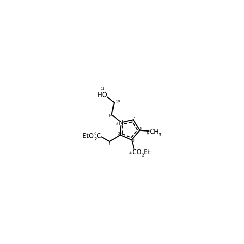 CCOC(=O)Cc1c(C(=O)OCC)c(C)cn1CCO